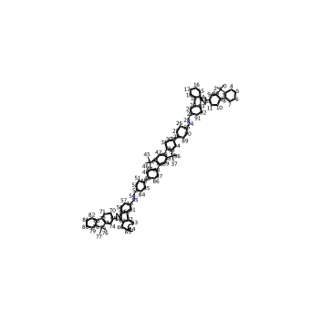 CC1(C)c2ccccc2-c2ccc(-n3c4ccccc4c4cc(/C=C/c5ccc(-c6ccc7c(c6)C(C)(C)c6cc8c(cc6-7)C(C)(C)c6cc(-c7ccc(/C=C/c9ccc%10c(c9)c9ccccc9n%10-c9ccc%10c(c9)C(C)(C)c9ccccc9-%10)cc7)ccc6-8)cc5)ccc43)cc21